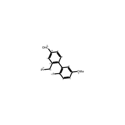 COc1ccc(F)c(-c2ccc(C=O)cc2CC(C)C)c1